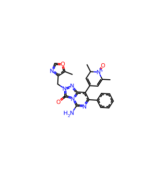 CC1=CC(c2c(-c3ccccc3)nc(N)n3c(=O)n(Cc4ncoc4C)nc23)=CC(C)[N+]1=O